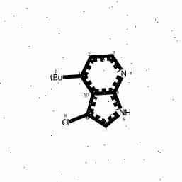 CC(C)(C)c1ccnc2[nH]cc(Cl)c12